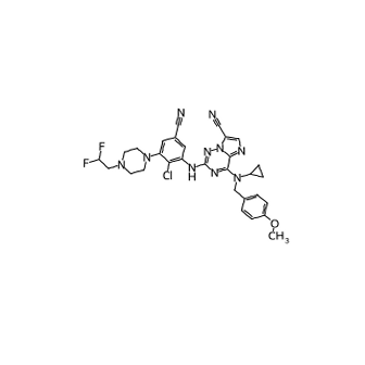 COc1ccc(CN(c2nc(Nc3cc(C#N)cc(N4CCN(CC(F)F)CC4)c3Cl)nn3c(C#N)cnc23)C2CC2)cc1